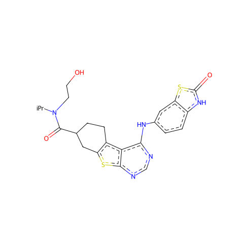 CC(C)N(CCO)C(=O)C1CCc2c(sc3ncnc(Nc4ccc5[nH]c(=O)sc5c4)c23)C1